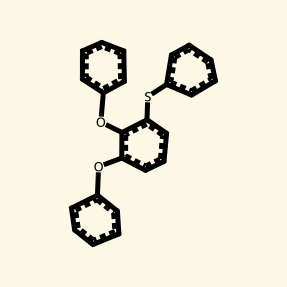 c1ccc(Oc2cccc(Sc3ccccc3)c2Oc2ccccc2)cc1